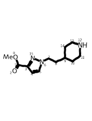 COC(=O)c1ccn(CCC2CCNCC2)n1